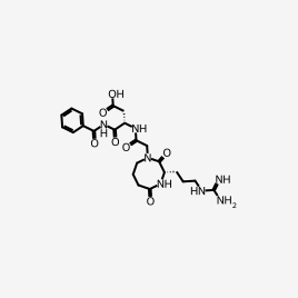 N=C(N)NCCC[C@@H]1NC(=O)CCCN(CC(=O)N[C@@H](CC(=O)O)C(=O)NC(=O)c2ccccc2)C1=O